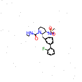 CCNC(=O)N1CCC[C@@H](NS(C)(=O)=O)[C@@H]1Cc1cccc(-c2ccccc2F)c1